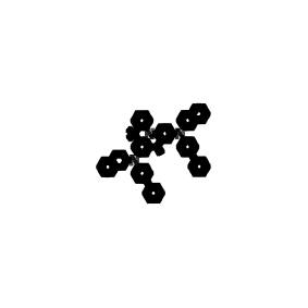 C=C1c2cc(N(c3ccc(-c4ccccc4)cc3)c3ccc4ccccc4c3)ccc2N2c3ccccc3C(C)(C)c3cc(N(c4ccc(-c5ccccc5)cc4)C4C=Cc5ccccc5C4)cc1c32